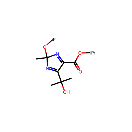 CC(C)OC(=O)C1=NC(C)(OC(C)C)N=C1C(C)(C)O